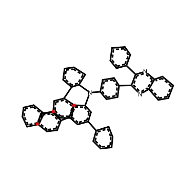 c1ccc(-c2cccc(-c3ccccc3N(c3ccc(-c4nc5ccccc5nc4-c4ccccc4)cc3)c3cc(-c4ccccc4)cc(-c4ccccc4)c3)c2)cc1